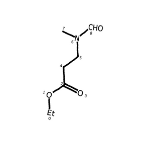 CCOC(=O)CCN(C)C=O